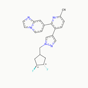 N#Cc1ccc(-c2cnn(CC3C[C@H](F)[C@@H](F)C3)c2)c(-c2ccn3ccnc3c2)n1